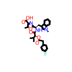 Cc1oc([C@@H](Cc2cn(C)c3ccccc23)NC(=O)[C@@H](OC(=O)Cc2ccc(F)cc2)C(C)C)nc1C(=O)O